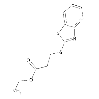 CCOC(=O)CCSc1nc2ccccc2s1